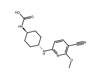 COc1nc(N[C@H]2CC[C@H](NC(=O)O)CC2)ccc1C#N